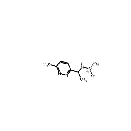 Cc1ccc(C(C)N[S@@+]([O-])C(C)(C)C)nn1